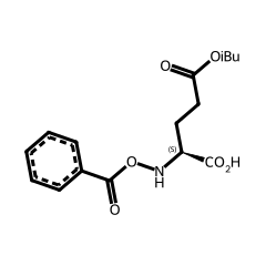 CC(C)COC(=O)CC[C@H](NOC(=O)c1ccccc1)C(=O)O